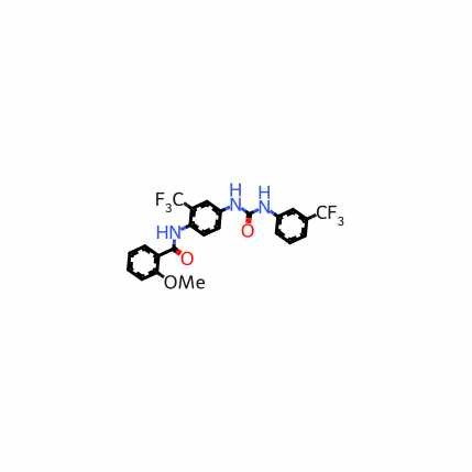 COc1ccccc1C(=O)Nc1ccc(NC(=O)Nc2cccc(C(F)(F)F)c2)cc1C(F)(F)F